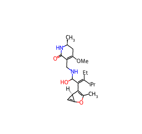 CC/C(=C(/C1=C(C)OC2=C[C@H]21)C(O)NCC1=C(OC)C[C@H](C)NC1=O)C(C)C